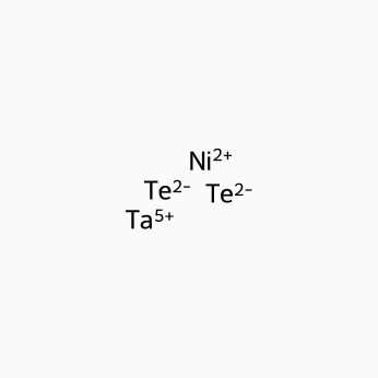 [Ni+2].[Ta+5].[Te-2].[Te-2]